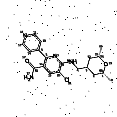 C[C@@H]1CC(CNc2nc(-c3c[c]ncc3)c(C(N)=O)cc2Cl)C[C@H](C)O1